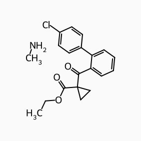 CCOC(=O)C1(C(=O)c2ccccc2-c2ccc(Cl)cc2)CC1.CN